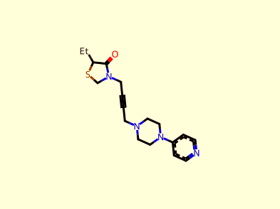 CCC1SCN(CC#CCN2CCN(c3ccncc3)CC2)C1=O